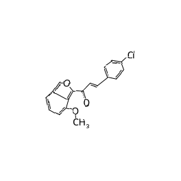 COc1cccc2coc(C(=O)C=Cc3ccc(Cl)cc3)c12